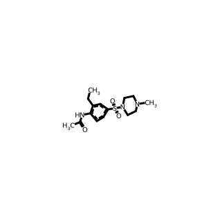 CCc1cc(S(=O)(=O)N2CCN(C)CC2)ccc1NC(C)=O